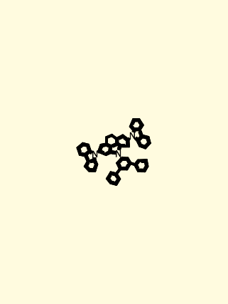 c1ccc(-c2cc(-c3ccccc3)cc(-n3c4cc(-n5c6ccccc6c6ccccc65)cc5c4c4c(cc(-n6c7ccccc7c7ccccc76)cc43)CC5)c2)cc1